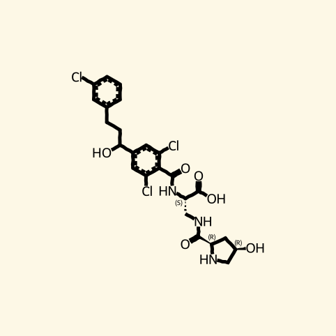 O=C(N[C@@H](CNC(=O)[C@H]1C[C@@H](O)CN1)C(=O)O)c1c(Cl)cc(C(O)CCc2cccc(Cl)c2)cc1Cl